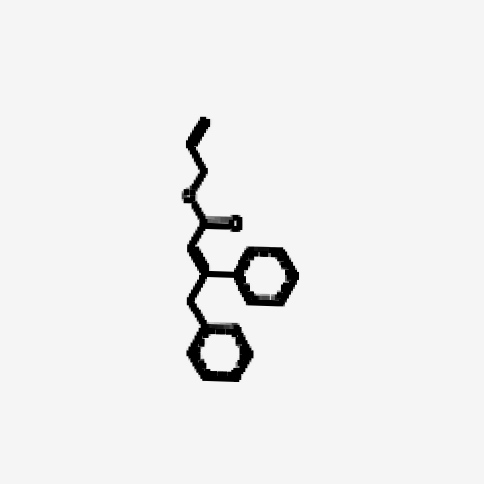 C=CCOC(=O)C=C(Cc1ccccc1)c1ccccc1